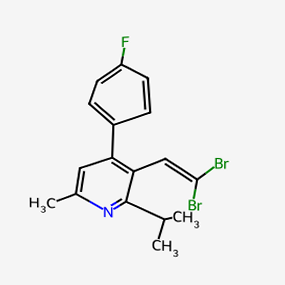 Cc1cc(-c2ccc(F)cc2)c(C=C(Br)Br)c(C(C)C)n1